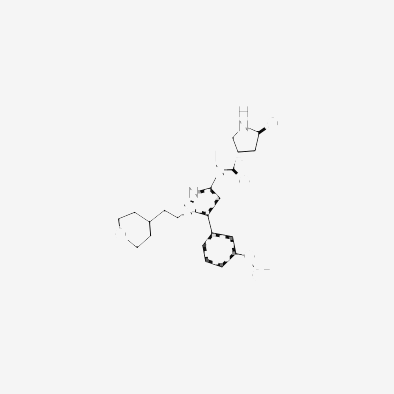 C[C@H]1C(=O)NC[C@@H]1C(=O)Nc1cc(-c2cccc(OC(F)(F)F)c2)n(CCC2CCOCC2)n1